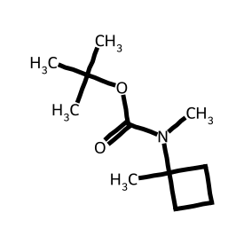 CN(C(=O)OC(C)(C)C)C1(C)CCC1